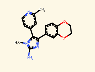 Cc1cc(-c2c(-c3ccc4c(c3)OCCO4)nc(N)n2C)ccn1